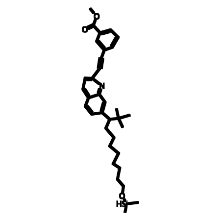 COC(=O)c1cccc(C#Cc2ccc3ccc(C(CCCCCCCCO[SiH](C)C)C(C)(C)C)cc3n2)c1